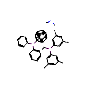 CNC.Cc1cc(C)cc(P(c2cc(C)cc(C)c2)C(C)[C@]23[CH]4[CH]5[CH]6[C]2(P(c2ccccc2)c2ccccc2)[Fe]56432789[CH]3[CH]2[CH]7[CH]8[CH]39)c1